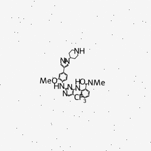 CNC(=O)c1ccccc1Nc1nc(Nc2ccc(-c3cnn(C4CCNCC4)c3)cc2OC)ncc1C(F)(F)F